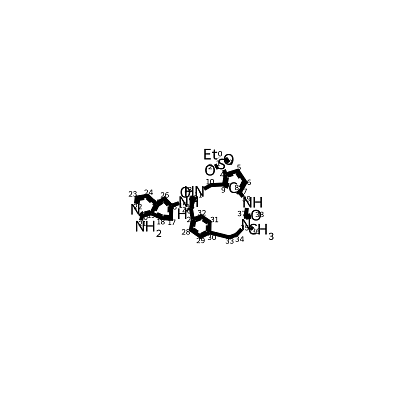 CCS(=O)(=O)c1ccc2cc1CNC(=O)[C@H](Nc1ccc3c(N)nccc3c1)c1ccc(cc1)CCN(C)C(=O)N2